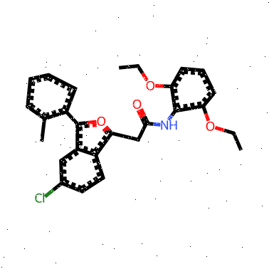 CCOc1cccc(OCC)c1NC(=O)Cc1oc(-c2ccccc2C)c2cc(Cl)ccc12